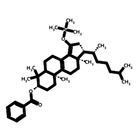 CC(C)CCC[C@@H](C)[C@H]1CC(O[Si](C)(C)C)=C2C3=C(CC[C@@]21C)[C@@]1(C)CC[C@H](OC(=O)c2ccccc2)C(C)(C)C1CC3